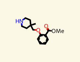 COC(=O)c1ccccc1OCC1(C)CCNCC1